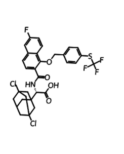 O=C(N[C@H](C(=O)O)C12CC3CC(Cl)(CC(Cl)(C3)C1)C2)c1ccc2cc(F)ccc2c1OCc1ccc(SC(F)(F)F)cc1